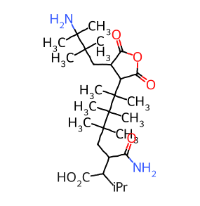 CC(C)C(C(=O)O)C(CC(C)(C)C(C)(C)C(C)(C)C1C(=O)OC(=O)C1CC(C)(C)C(C)(C)N)C(N)=O